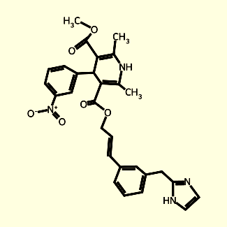 COC(=O)C1=C(C)NC(C)=C(C(=O)OCC=Cc2cccc(Cc3ncc[nH]3)c2)C1c1cccc([N+](=O)[O-])c1